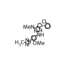 CNc1nc(Nc2ccc(-n3cnc(C)n3)c(OC)c2)nc2c1CC[C@H]2c1ccccc1Cl